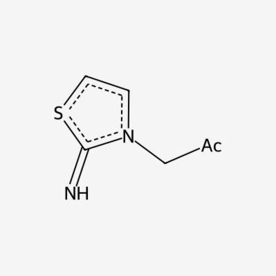 CC(=O)Cn1ccsc1=N